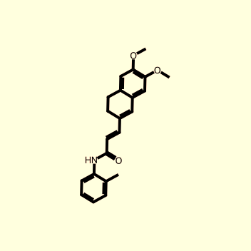 COc1cc2c(cc1OC)CCC(C=CC(=O)Nc1ccccc1C)=C2